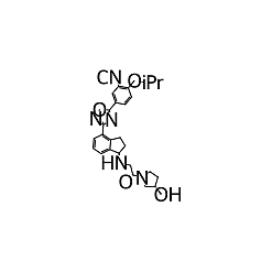 CC(C)Oc1ccc(-c2nc(-c3cccc4c3CC[C@H]4NCC(=O)N3CC[C@@H](O)C3)no2)cc1C#N